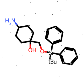 CC(C)(C)[Si](OCC1(O)CCC(N)CC1)(c1ccccc1)c1ccccc1